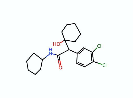 O=C(NC1CCCCC1)C(c1ccc(Cl)c(Cl)c1)C1(O)CCCCC1